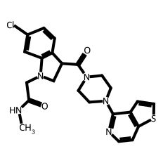 CNC(=O)CN1CC(C(=O)N2CCN(c3nccc4sccc34)CC2)c2ccc(Cl)cc21